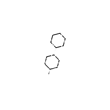 O=C[C@H]1CC[C@H](C2CC[CH]CC2)CC1